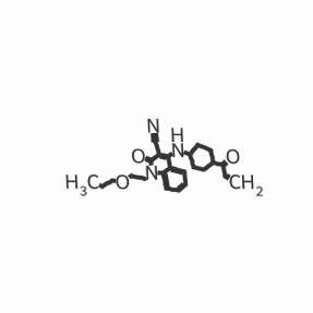 C=CC(=O)C1CCC(Nc2c(C#N)c(=O)n(CCOCCC)c3ccccc23)CC1